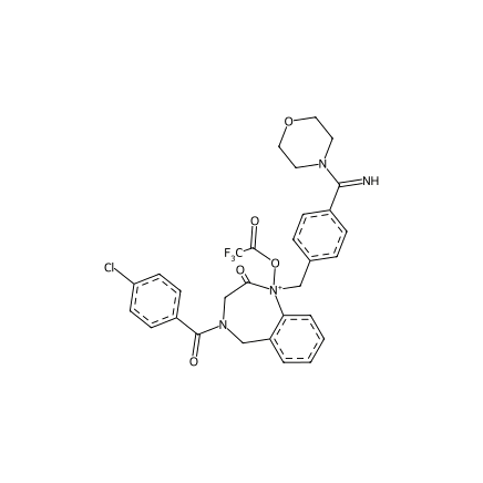 N=C(c1ccc(C[N+]2(OC(=O)C(F)(F)F)C(=O)CN(C(=O)c3ccc(Cl)cc3)Cc3ccccc32)cc1)N1CCOCC1